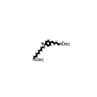 CCCCCCCCCCCCCCCCCCN(C)c1ccc(CCCCCCCCCCCCCC)cc1